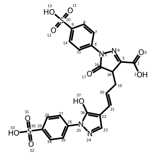 O=C(O)C1=NN(c2ccc(S(=O)(=O)O)cc2)C(=O)C1CC=Cc1cnn(-c2ccc(S(=O)(=O)O)cc2)c1O